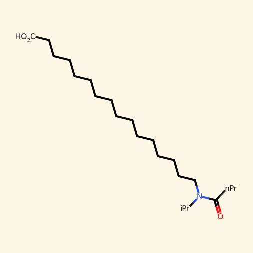 CCCC(=O)N(CCCCCCCCCCCCCCCC(=O)O)C(C)C